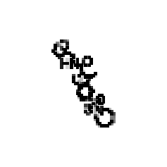 Cc1c(C(=O)NCC2CCCO2)oc2ccc(S(=O)(=O)N3CCCCCC3)cc12